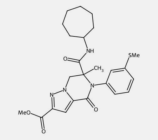 COC(=O)c1cc2n(n1)CC(C)(C(=O)NC1CCCCCC1)N(c1cccc(SC)c1)C2=O